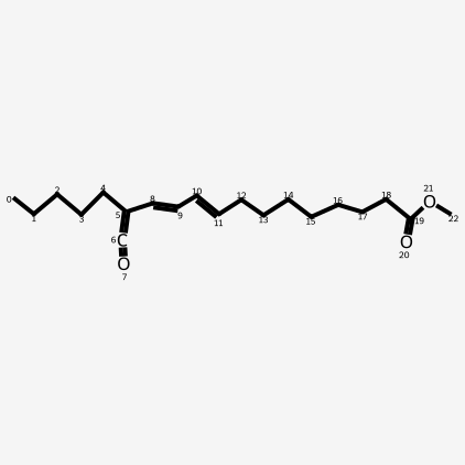 CCCCCC(=C=O)/C=C/C=C/CCCCCCCC(=O)OC